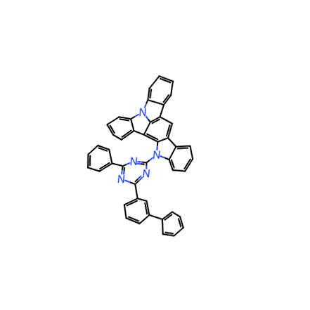 c1ccc(-c2cccc(-c3nc(-c4ccccc4)nc(-n4c5ccccc5c5cc6c7ccccc7n7c8ccccc8c(c54)c67)n3)c2)cc1